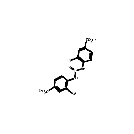 CCOC(=O)c1ccc([NH][Tc](=[O])[NH]c2ccc(C(=O)OCC)cc2S)c(S)c1